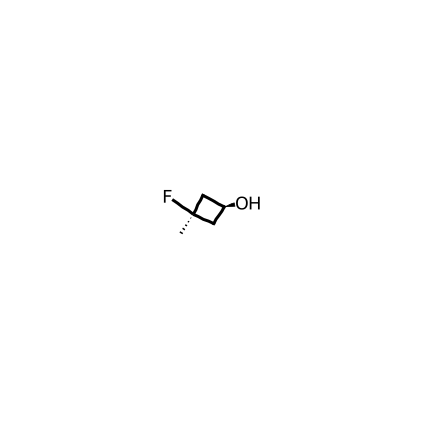 C[C@]1(F)C[C@@H](O)C1